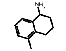 Cc1cccc2c1CCCC2N